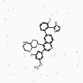 COc1cc(F)cc(-c2cnc3ccc(-c4cccc(F)c4-c4ncc[nH]4)cc3c2N2CCC3NCCOC3C2)c1